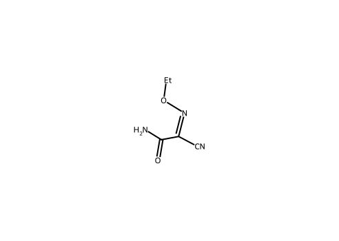 CCO/N=C(/C#N)C(N)=O